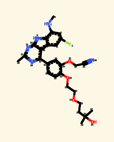 CNc1cc(F)cc2c1[nH]c1nc(C)nc(-c3ccc(OCCOCCC(C)(C)O)c(OCC#N)c3)c12